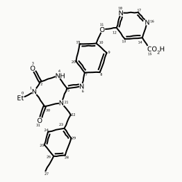 CCn1c(=O)[nH]/c(=N\c2ccc(Oc3cc(C(=O)O)ncn3)cc2)n(Cc2ccc(C)cc2)c1=O